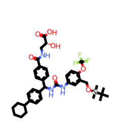 CC(C)(C)[Si](C)(C)OCc1cc(NC(=O)NC(c2ccc(C(=O)NC[C@@H](O)C(=O)O)cc2)c2ccc(C3CCCCC3)cc2)ccc1OC(F)(F)F